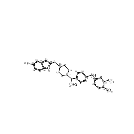 O=CC(c1ccc(Nc2ccc([N+](=O)[O-])c(C(F)(F)F)c2)cc1)N1CCN(Cc2cc3cc(F)ccc3o2)CC1